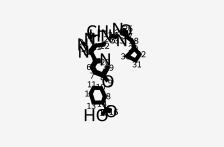 Cn1nnc(-c2ccc(O[C@H]3CCC[C@H](C(=O)O)C3)cn2)c1CNc1noc(CC2CCC2)n1